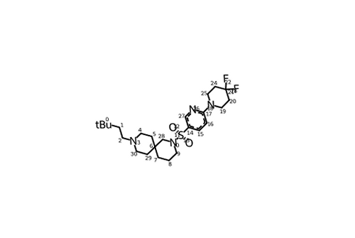 CC(C)(C)CCN1CCC2(CCCN(S(=O)(=O)c3ccc(N4CCC(F)(F)CC4)nc3)C2)CC1